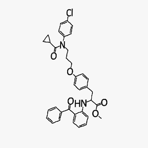 COC(=O)C(Cc1ccc(OCCCN(C(=O)C2CC2)c2ccc(Cl)cc2)cc1)Nc1ccccc1C(=O)c1ccccc1